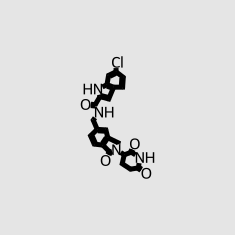 O=C1CCC(N2Cc3cc(CNC(=O)c4cc5ccc(Cl)cc5[nH]4)ccc3C2=O)C(=O)N1